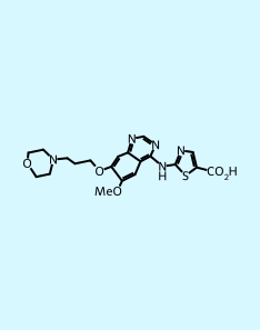 COc1cc2c(Nc3ncc(C(=O)O)s3)ncnc2cc1OCCCN1CCOCC1